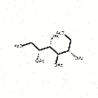 CC(=O)OC[C@H](OC(C)=O)[C@@H](OC(C)=O)[C@@H](OC(C)=O)[C@@H](COC(C)=O)OC(C)=O